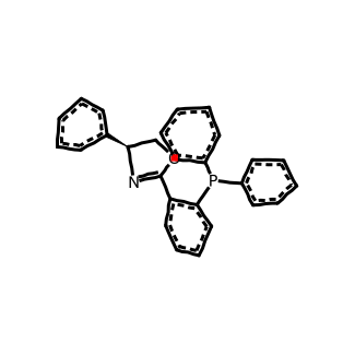 c1ccc([C@H]2COC(c3ccccc3P(c3ccccc3)c3ccccc3)=N2)cc1